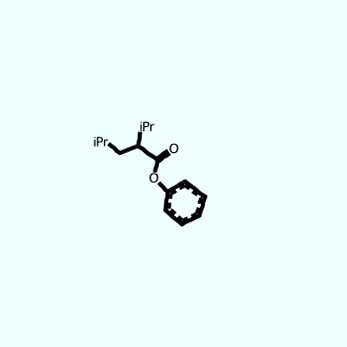 CC(C)CC(C(=O)Oc1ccccc1)C(C)C